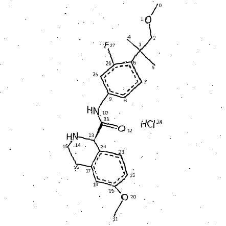 COCC(C)(C)c1ccc(NC(=O)[C@@H]2NCCc3cc(OC)ccc32)cc1F.Cl